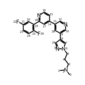 CN(C)CCCn1cc(-c2cncc(-c3ccnc(-c4cc(F)ccc4F)c3)c2)cn1